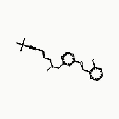 CN(CC=CC#CC(C)(C)C)Cc1cccc(OCc2ccccc2Cl)c1